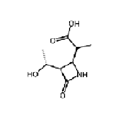 CC(C(=O)O)[C@H]1NC(=O)[C@H]1[C@@H](C)O